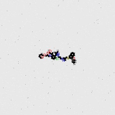 COC(=O)c1c(C)c2c(-c3c(C)c(C)nn3CCCn3cc(CSc4cc(O[Si](C)(C)C(C)(C)C)c5ccccc5c4)cn3)c(Cl)ccc2n1CCCOC1CCCCO1